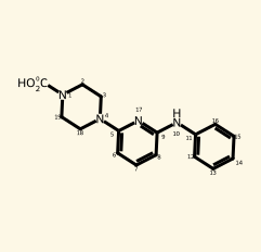 O=C(O)N1CCN(c2cccc(Nc3ccccc3)n2)CC1